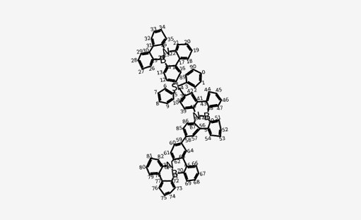 c1ccc([Si](c2ccccc2)(c2ccc3c(c2)-c2ccccc2N2B3c3ccccc3-c3ccccc32)c2ccc3c(c2)-c2ccccc2B2c4ccccc4-c4cc(-c5ccc6c(c5)-c5ccccc5B5c7ccccc7-c7ccccc7N56)ccc4N23)cc1